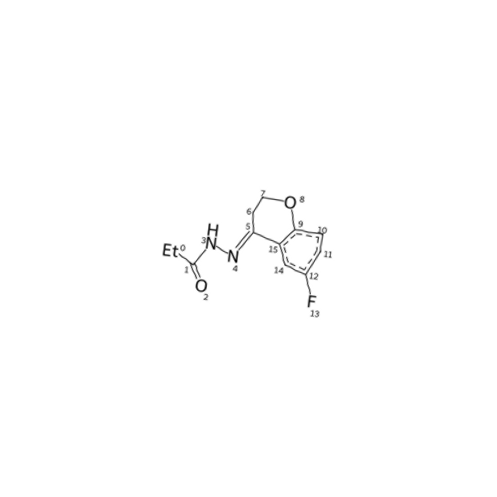 CCC(=O)N/N=C1\CCOc2ccc(F)cc21